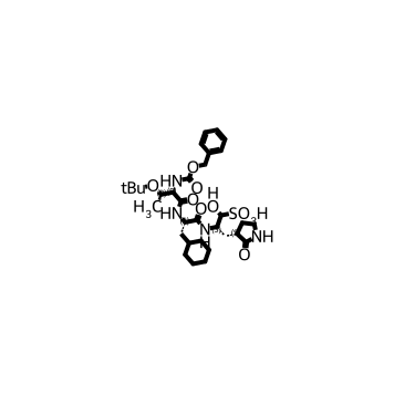 C[C@@H](OC(C)(C)C)[C@H](NC(=O)OCc1ccccc1)C(=O)N[C@@H](CC1CCCCC1)C(=O)N[C@@H](C[C@@H]1CCNC1=O)C(O)S(=O)(=O)O